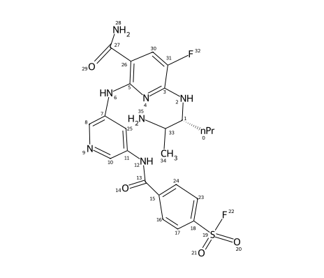 CCC[C@@H](Nc1nc(Nc2cncc(NC(=O)c3ccc(S(=O)(=O)F)cc3)c2)c(C(N)=O)cc1F)C(C)N